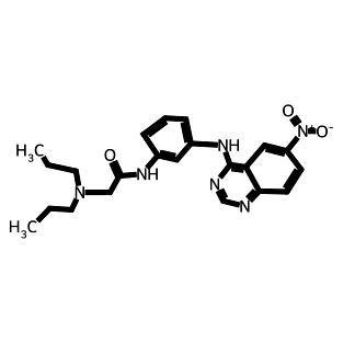 CCCN(CCC)CC(=O)Nc1cccc(Nc2ncnc3ccc([N+](=O)[O-])cc23)c1